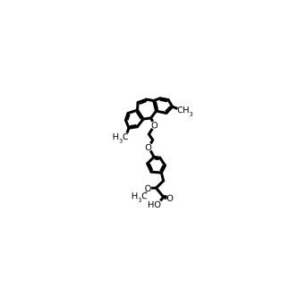 COC(Cc1ccc(OCCOC2c3cc(C)ccc3C=Cc3ccc(C)cc32)cc1)C(=O)O